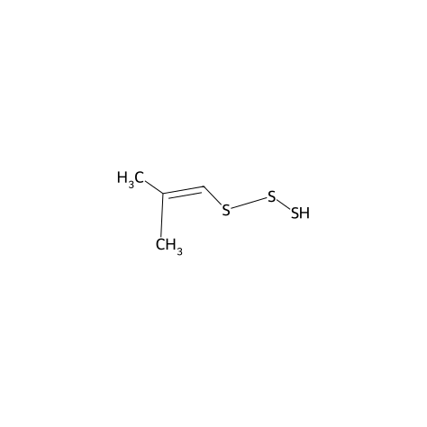 CC(C)=CSSS